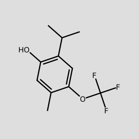 Cc1cc(O)c(C(C)C)cc1OC(F)(F)F